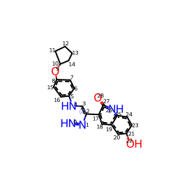 N=N/C(=C\Nc1ccc(OC2CCCC2)cc1)c1cc2cc(O)ccc2[nH]c1=O